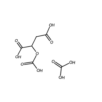 O=C(O)CC(OC(=O)O)C(=O)O.O=C(O)O